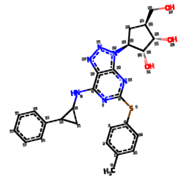 Cc1ccc(Sc2nc(NC3CC3c3ccccc3)c3nnn([C@H]4C[C@@H](CO)[C@H](O)[C@@H]4O)c3n2)cc1